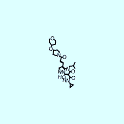 CC(C)Cn1c(=O)c(C(=O)NC2CC2)c(O)n2ncc(C=CC(=O)N3CCC(OC4CCOCC4)CC3)c12